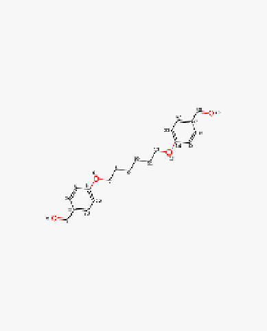 O=Cc1ccc(OCCCCCCOc2ccc(C=O)cc2)cc1